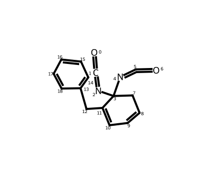 O=C=NC1(N=C=O)CC=CC=C1Cc1ccccc1